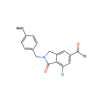 CCC(=O)c1cc(Cl)c2c(c1)CN(Cc1ccc(OC)cc1)C2=O